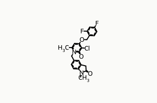 Cc1cc(OCc2ccc(F)cc2F)c(Cl)c(=O)n1Cc1ccc2c(c1)CC(=O)N2C